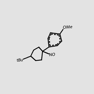 COc1ccc(C2(N=O)CCC(C(C)(C)C)CC2)cc1